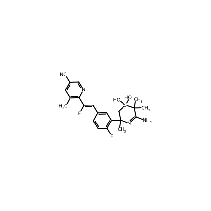 Cc1cc(C#N)cnc1C(F)=Cc1ccc(F)c(C2(C)CS(O)(O)C(C)(C)C(N)=N2)c1